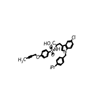 CC#CCOc1ccc(S(=O)(=O)N[C@@H](Cc2cn(Cc3ccc(C(C)C)cc3)c3ccc(Cl)cc23)C(=O)O)cc1